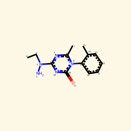 CCN(N)c1nc(C)n(-c2ccccc2C)c(=O)n1